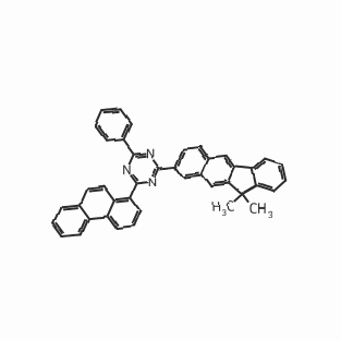 CC1(C)c2ccccc2-c2cc3ccc(-c4nc(-c5ccccc5)nc(-c5cccc6c5ccc5ccccc56)n4)cc3cc21